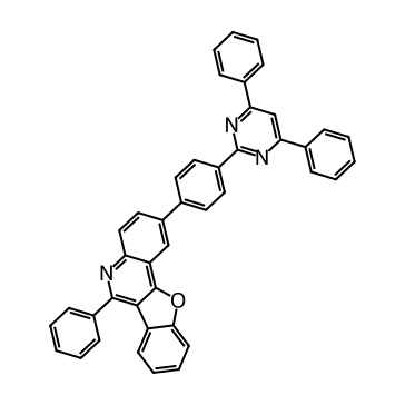 c1ccc(-c2cc(-c3ccccc3)nc(-c3ccc(-c4ccc5nc(-c6ccccc6)c6c7ccccc7oc6c5c4)cc3)n2)cc1